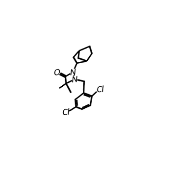 CC1(C)C(=O)N(C2CC3CCC2C3)N1Cc1cc(Cl)ccc1Cl